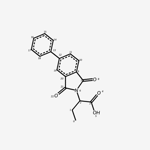 CCC(C(=O)O)N1C(=O)c2ccc(-c3ccccc3)cc2C1=O